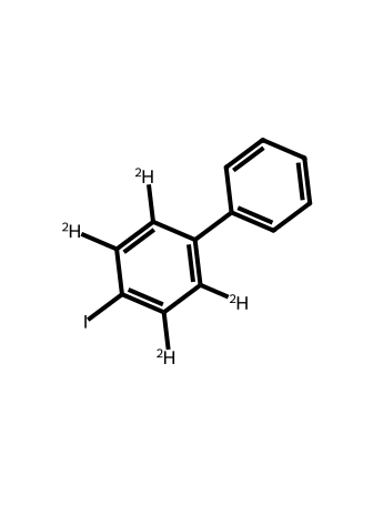 [2H]c1c([2H])c(-c2ccccc2)c([2H])c([2H])c1I